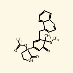 CC1(SC(F)(F)F)C(=S)C=C([N+]2(OC(=O)C(F)(F)F)CCNC2=O)C=C1Cc1ccnc2ccccc12